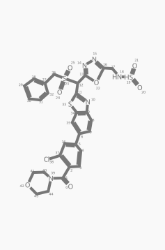 O=C(c1ccc(-c2ccc3nc(C(c4nnc(CN[SH](=O)=O)o4)S(=O)(=O)Cc4ccccc4)sc3c2)cc1Cl)N1CCOCC1